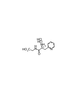 Cl.Cl.N[C@@H](Cc1ccccn1)C(=O)NCC(=O)O